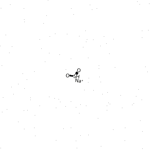 O=[SH][O-].[Na+]